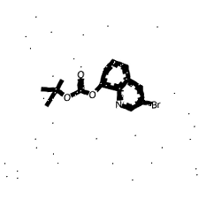 CC(C)(C)OC(=O)Oc1cccc2cc(Br)cnc12